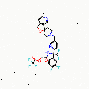 O=C(COC(=O)C(F)(F)F)NC(c1ccc(F)c(F)c1)(c1ccc(CN2CCC3(CC2)OCc2ccncc23)cn1)C(F)F